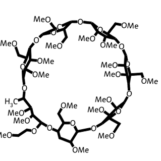 COCCOC1OC2CC(OC)C(OC2COC)OC2C(COC)OC(OC3C(COC)OC(OC4C(COC)OC(OC5CC(OC)C(OC5COC)OC5C(COC)OC(OC(C)C(OC)C1OC)C(OC)C5OC)C(OC)C4OC)C(OC)C3OC)C(OC)C2OC